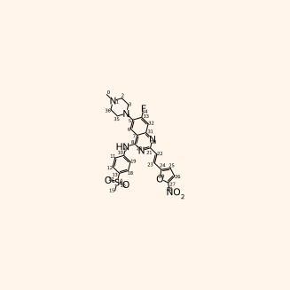 CN1CCN(c2cc3c(Nc4ccc(S(C)(=O)=O)cc4)nc(/C=C/c4ccc([N+](=O)[O-])o4)nc3cc2F)CC1